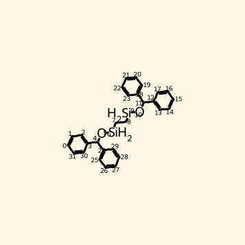 c1ccc(C(O[SiH2]CC[SiH2]OC(c2ccccc2)c2ccccc2)c2ccccc2)cc1